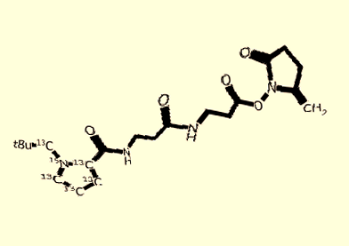 C=C1CCC(=O)N1OC(=O)CCNC(=O)CCNC(=O)[13CH]1[13CH2][13CH2][13CH2][15N]1[13CH2]C([13CH3])([13CH3])[13CH3]